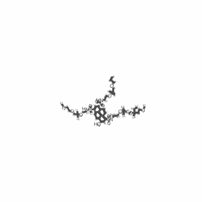 CCCOCC(C)(C)OCCNS(=O)(=O)c1cc(S(=O)(=O)NCCOC(C)(C)COCCOC)c2ccc3c(O)cc(S(=O)(=O)NCCOC(C)(C)COC(C)(CC)CCOC)c4ccc1c2c34